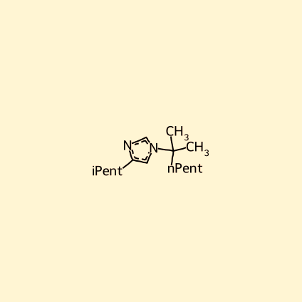 CCCCCC(C)(C)n1cnc(C(C)CCC)c1